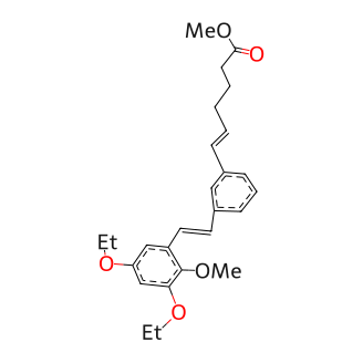 CCOc1cc(C=Cc2cccc(C=CCCCC(=O)OC)c2)c(OC)c(OCC)c1